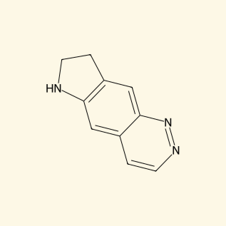 c1cc2cc3c(cc2nn1)CCN3